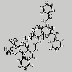 CC(C)C[C@H](NC(=O)[C@@H](CCCC(NC(=O)[C@H](CCc1ccccc1)NC(=O)CN1CCOCC1)C(N)=O)Cc1ccccc1)C(=O)[C@@]1(C)CO1